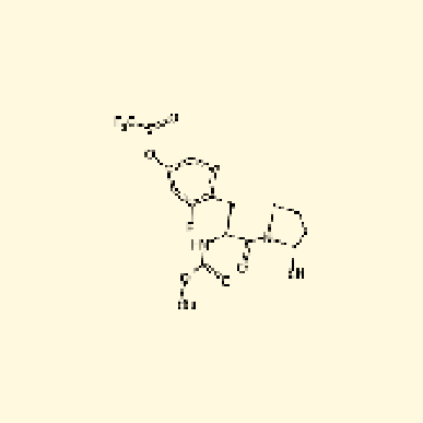 CC(C)(C)OC(=O)N[C@@H](Cc1ccc(OS(=O)C(F)(F)F)cc1F)C(=O)N1CCC[C@H]1C#N